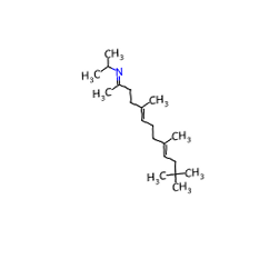 C/C(=C\CC(C)(C)C)CC/C=C(\C)CC/C(C)=N/C(C)C